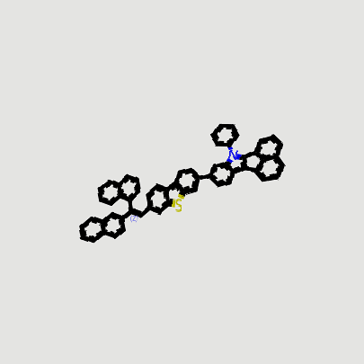 C(=C(\c1ccc2ccccc2c1)c1cccc2ccccc12)/c1ccc2c(c1)sc1cc(-c3ccc4c5c(n(-c6ccccc6)c4c3)-c3cccc4cccc-5c34)ccc12